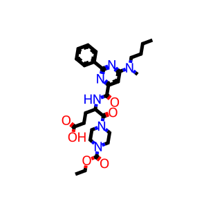 CCCCN(C)c1cc(C(=O)NC(CCC(=O)O)C(=O)N2CCN(C(=O)OCC)CC2)nc(-c2ccccc2)n1